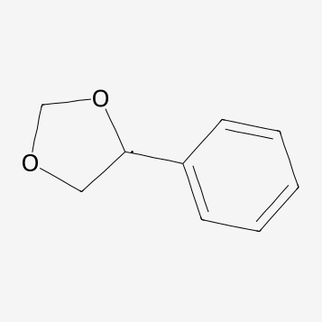 c1ccc([C]2COCO2)cc1